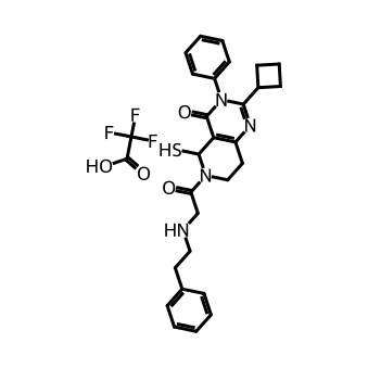 O=C(CNCCc1ccccc1)N1CCc2nc(C3CCC3)n(-c3ccccc3)c(=O)c2C1S.O=C(O)C(F)(F)F